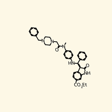 CCOC(=O)c1ccc2c(c1)NC(=O)C2=C(Nc1ccc(N(C)C(=O)CN2CCN(Cc3ccccc3)CC2)cc1)c1ccccc1